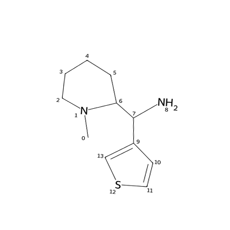 CN1CCCCC1C(N)c1ccsc1